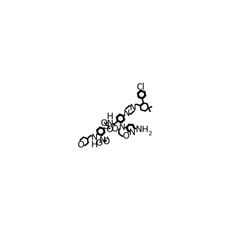 CC1(C)CCC(CN2CCN(c3ccc(C(=O)NS(=O)(=O)c4ccc(NCC5CCOCC5)c([N+](=O)[O-])c4)c(N4CCCOc5nc(N)ccc54)c3)CC2)=C(c2ccc(Cl)cc2)C1